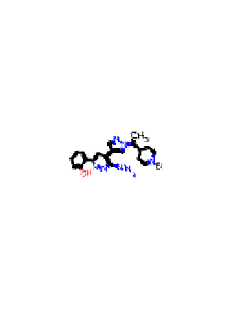 CCN1CCC(C(C)n2cc(-c3cc(-c4ccccc4O)nnc3N)cn2)CC1